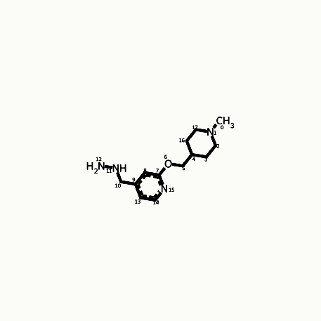 CN1CCC(COc2cc(CNN)ccn2)CC1